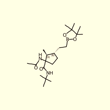 CC(=O)NC1(C(=O)NC(C)(C)C)CC[C@@H](CCB2OC(C)(C)C(C)(C)O2)[C@@H]1C